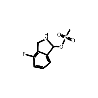 CS(=O)(=O)OC1NCc2c(F)cccc21